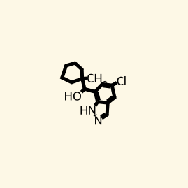 CC1(C(O)c2cc(Cl)cc3cn[nH]c23)CCCCC1